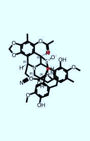 COc1cc2c(cc1O)CCN[C@]21C[S+]([O-])[C@@H]2c3c(OC(C)=O)c(C)c4c(c3[C@H](COC1=O)N1C2C2c3c(cc(C)c(OC)c3O)C[C@@H]([C@@H]1C#N)N2C)OCO4